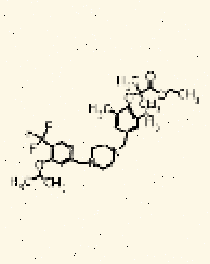 CCOC(=O)C(C)(C)Oc1c(C)cc(CN2CCN(Cc3ccc(C(F)(F)F)c(OC(C)C)c3)CC2)cc1C